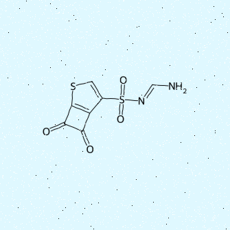 NC=NS(=O)(=O)c1csc2c(=O)c(=O)c12